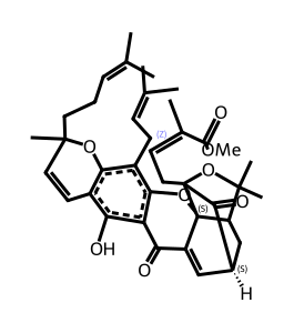 COC(=O)/C(C)=C\CC12OC(C)(C)C3C[C@@H](C=C4C(=O)c5c(O)c6c(c(CC=C(C)C)c5O[C@]431)OC(C)(CCC=C(C)C)C=C6)C2=O